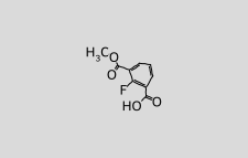 COC(=O)c1cccc(C(=O)O)c1F